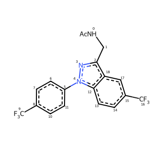 CC(=O)NCc1nn(-c2ccc(C(F)(F)F)cc2)c2ccc(C(F)(F)F)cc12